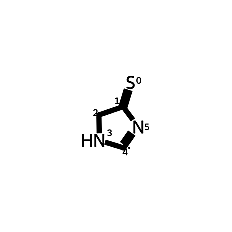 S=C1CN[C]=N1